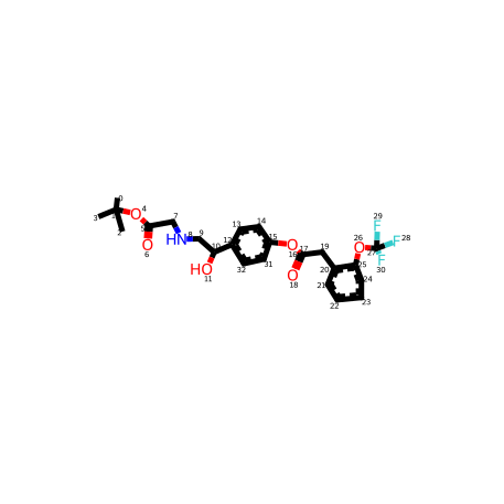 CC(C)(C)OC(=O)CNCC(O)c1ccc(OC(=O)Cc2ccccc2OC(F)(F)F)cc1